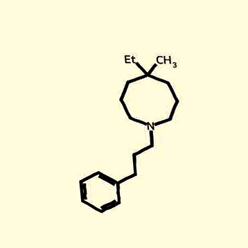 CCC1(C)CCCN(CCCc2ccccc2)CCC1